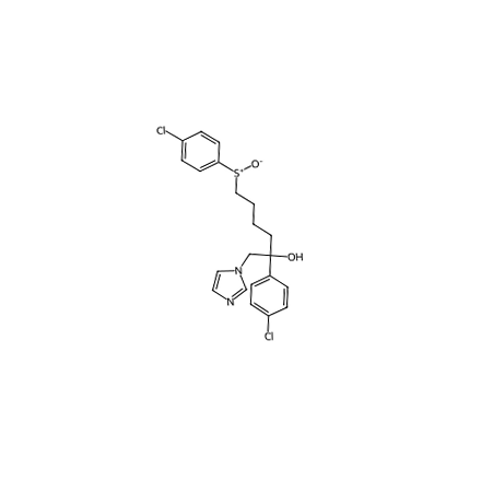 [O-][S+](CCCCC(O)(Cn1ccnc1)c1ccc(Cl)cc1)c1ccc(Cl)cc1